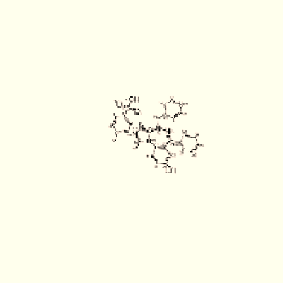 Cc1ccc(S(=O)(=O)O)cc1.Cc1nnc2n1-c1ccc(Cl)cc1C(c1ccccc1)=NN2Cc1ccncc1